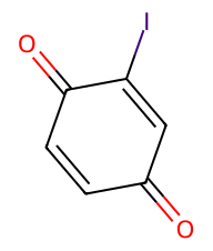 O=C1C=CC(=O)C(I)=C1